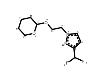 FC(F)c1ccn(CCOC2CCCCO2)n1